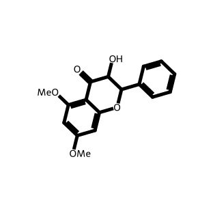 COc1cc(OC)c2c(c1)OC(c1ccccc1)C(O)C2=O